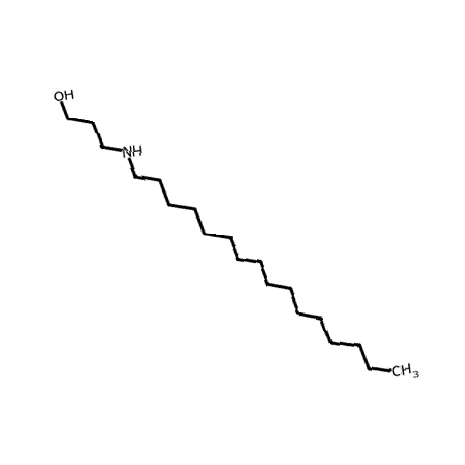 CCCCCCCCCCCCCCCCNCCCO